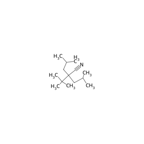 CC(C)CC(C#N)(CC(C)C)C(C)(C)C